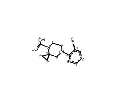 O=C(O)N1CCN(c2ncccc2F)CC12CC2